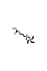 C=C[Si](C=C)(C=C)C[Si](C)(C)CCCOC(=O)O